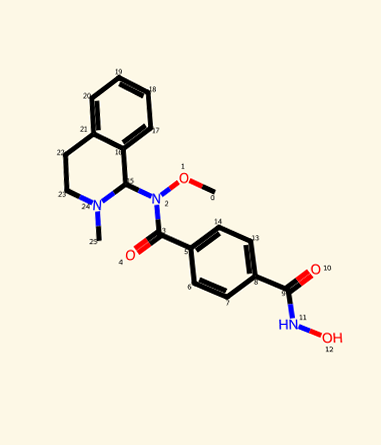 CON(C(=O)c1ccc(C(=O)NO)cc1)C1c2ccccc2CCN1C